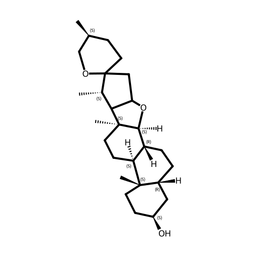 C[C@H]1CCC2(CC3O[C@H]4[C@@H]5CC[C@@H]6C[C@@H](O)CC[C@]6(C)[C@H]5CC[C@@]4(C)C3[C@@H]2C)OC1